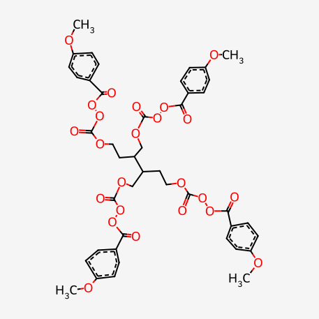 COc1ccc(C(=O)OOC(=O)OCCC(COC(=O)OOC(=O)c2ccc(OC)cc2)C(CCOC(=O)OOC(=O)c2ccc(OC)cc2)COC(=O)OOC(=O)c2ccc(OC)cc2)cc1